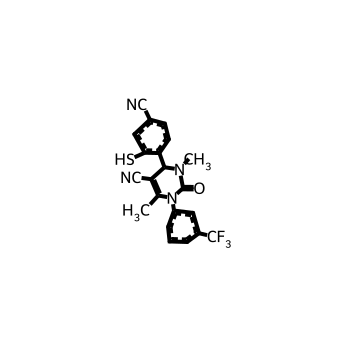 CC1=C(C#N)C(c2ccc(C#N)cc2S)N(C)C(=O)N1c1cccc(C(F)(F)F)c1